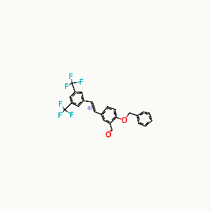 O=Cc1cc(/C=C/c2cc(C(F)(F)F)cc(C(F)(F)F)c2)ccc1OCc1ccccc1